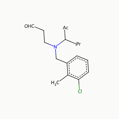 CC(=O)C(C(C)C)N(CCC=O)Cc1cccc(Cl)c1C